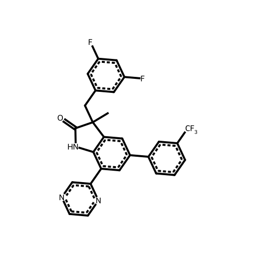 CC1(Cc2cc(F)cc(F)c2)C(=O)Nc2c(-c3cnccn3)cc(-c3cccc(C(F)(F)F)c3)cc21